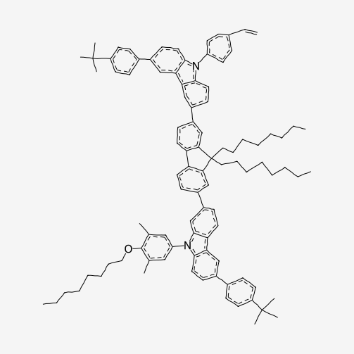 C=Cc1ccc(-n2c3ccc(-c4ccc(C(C)(C)C)cc4)cc3c3cc(-c4ccc5c(c4)C(CCCCCCCC)(CCCCCCCC)c4cc(-c6ccc7c8cc(-c9ccc(C(C)(C)C)cc9)ccc8n(-c8cc(C)c(OCCCCCCCC)c(C)c8)c7c6)ccc4-5)ccc32)cc1